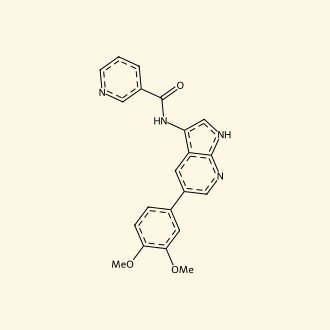 COc1ccc(-c2cnc3[nH]cc(NC(=O)c4cccnc4)c3c2)cc1OC